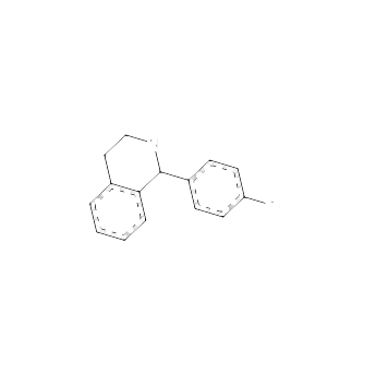 CC(=O)c1ccc(C2NCCc3ccccc32)cc1